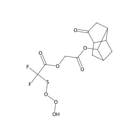 O=C(COC(=O)C(F)(F)SOOO)OC1C2CC3C(=O)CC1C3C2